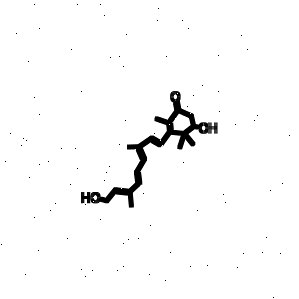 CC(C=CC1=C(C)C(=O)CC(O)C1(C)C)=CC=CC(C)=CCO